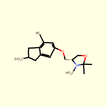 CCOC(=O)C1Cc2cc(OC[C@@H]3COC(C)(C)N3C(=O)O)cc(C#N)c2C1